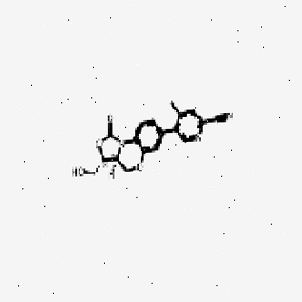 Cc1cc(C#N)ncc1-c1ccc2c(c1)OC[C@H]1[C@H](CO)OC(=O)N21